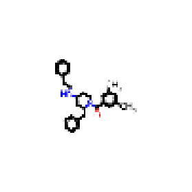 Cc1cc(C)cc(C(=O)N2CC[C@H](NCCc3ccccc3)C[C@@H]2Cc2ccccc2)c1